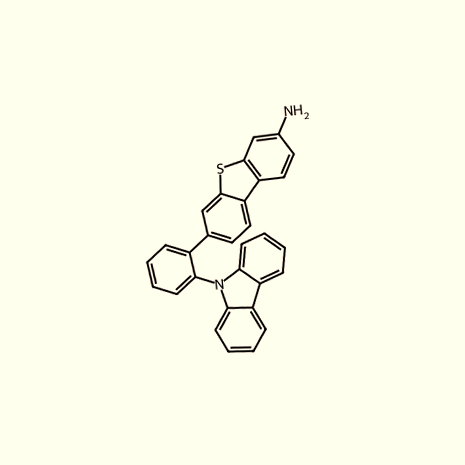 Nc1ccc2c(c1)sc1cc(-c3ccccc3-n3c4ccccc4c4ccccc43)ccc12